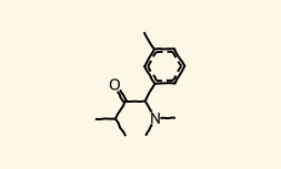 Cc1cccc(C(C(=O)C(C)C)N(C)C)c1